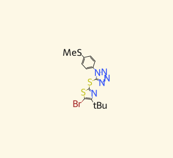 CSc1ccc(-n2nnnc2Sc2nc(C(C)(C)C)c(Br)s2)cc1